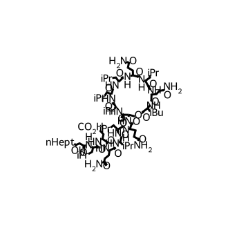 CCCCCCCC(O)CC(=O)NC(CC(C)C)C(=O)NC(CCC(=O)O)C(=O)NC(CCC(N)=O)C(=O)NC(C(=O)NC(CC(C)C)C(=O)NC(CCC(N)=O)C(=O)NC1COC(=O)C(C(C)CC)NC(=O)C(CCC(N)=O)NC(=O)C(CC(C)C)NC(=O)C(CCC(N)=O)NC(=O)C(CC(C)C)NC(=O)C(CC(C)C)NC(=O)C(C(C)C)NC1=O)C(C)C